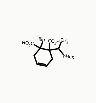 CCCCCCC(C)C1(C(=O)O)CC=CCC1(C(=O)O)C(C)CC